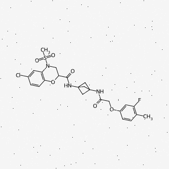 Cc1ccc(OCC(=O)NC23CC(NC(=O)C4CN(S(C)(=O)=O)c5cc(Cl)ccc5O4)(C2)C3)cc1F